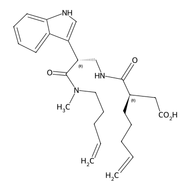 C=CCCC[C@H](CC(=O)O)C(=O)NC[C@H](C(=O)N(C)CCCC=C)c1c[nH]c2ccccc12